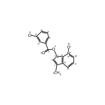 Cc1cn(OC(=O)c2cccc(Cl)c2)c2c1ccc[n+]2[O-]